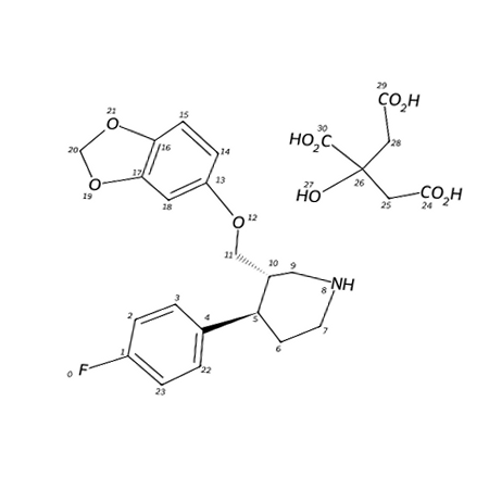 Fc1ccc([C@@H]2CCNC[C@H]2COc2ccc3c(c2)OCO3)cc1.O=C(O)CC(O)(CC(=O)O)C(=O)O